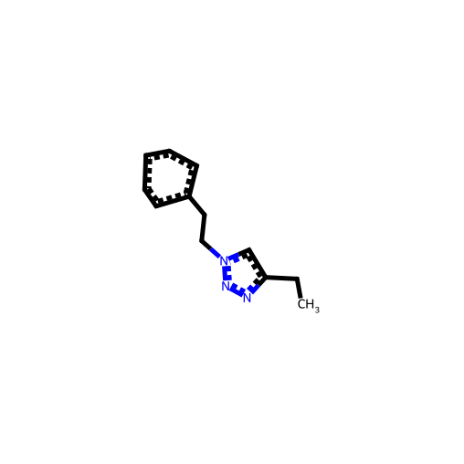 CCc1cn(CCc2ccccc2)nn1